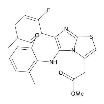 COC(=O)Cc1csc2nc(C3=CC(C)CC=C3F)c(Nc3c(C)cccc3Cl)n12